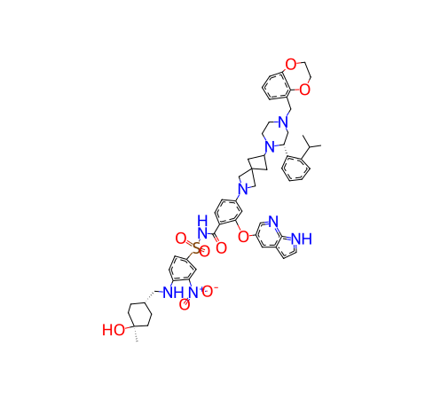 CC(C)c1ccccc1[C@H]1CN(Cc2cccc3c2OCCO3)CCN1C1CC2(C1)CN(c1ccc(C(=O)NS(=O)(=O)c3ccc(NC[C@H]4CC[C@](C)(O)CC4)c([N+](=O)[O-])c3)c(Oc3cnc4[nH]ccc4c3)c1)C2